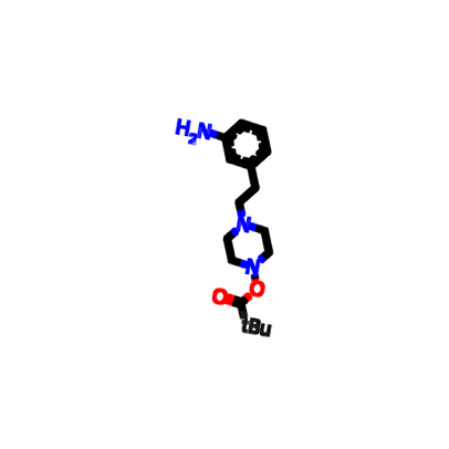 CC(C)(C)C(=O)ON1CCN(CCc2cccc(N)c2)CC1